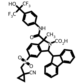 CC1(C(=O)Nc2ccc(C(O)(C(F)(F)F)C(F)(F)F)cc2)c2ccc(S(=O)(=O)CC3(C#N)CC3)cc2C(C2c3ccccc3-c3ccccc32)N1C(=O)O